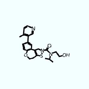 Cc1ccncc1-c1ccc2c(c1)C1=C(CCO2)SN(C(=O)N(CCO)C(C)C)C1